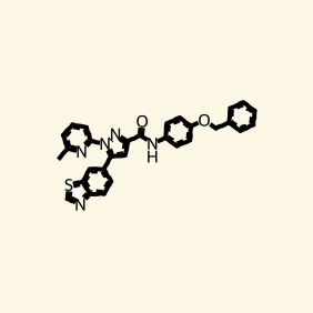 Cc1cccc(-n2nc(C(=O)Nc3ccc(OCc4ccccc4)cc3)cc2-c2ccc3ncsc3c2)n1